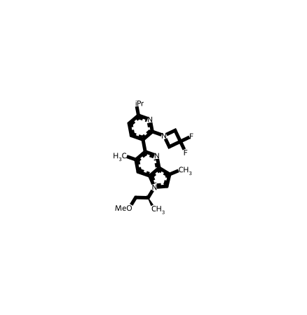 COC[C@H](C)n1cc(C)c2nc(-c3ccc(C(C)C)nc3N3CC(F)(F)C3)c(C)cc21